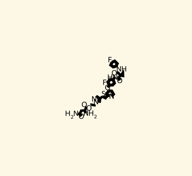 NC(=O)CC(N)C(=O)OCCn1cc(-c2cc3nccc(Oc4ccc(NC(=O)C5(C(=O)Nc6ccc(F)cc6)CC5)cc4F)c3s2)cn1